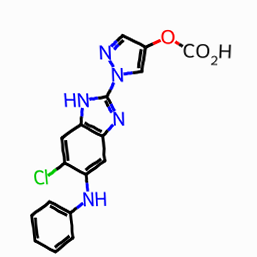 O=C(O)Oc1cnn(-c2nc3cc(Nc4ccccc4)c(Cl)cc3[nH]2)c1